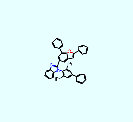 CC(C)c1cc(-c2ccccc2)cc(C(C)C)c1-n1c(-c2cc(-c3ccccc3)c3oc(-c4ccccc4)cc3c2)nc2ccccc21